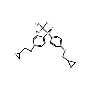 CC(C)(C)P(=O)(c1ccc(OCC2CO2)cc1)c1ccc(OCC2CO2)cc1